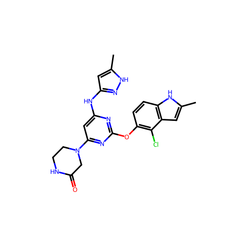 Cc1cc(Nc2cc(N3CCNC(=O)C3)nc(Oc3ccc4[nH]c(C)cc4c3Cl)n2)n[nH]1